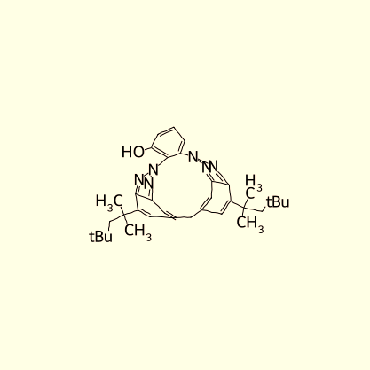 CC(C)(C)CC(C)(C)c1cc2cc3nn(nc13)-c1cccc(O)c1-n1nc3cc(cc(C(C)(C)CC(C)(C)C)c3n1)C2